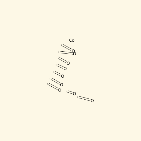 [C]=O.[C]=O.[C]=O.[C]=O.[C]=O.[C]=O.[C]=O.[C]=O.[C]=O.[Co]